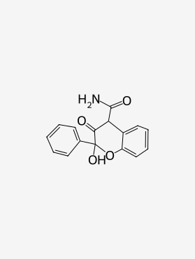 NC(=O)C1C(=O)C(O)(c2ccccc2)Oc2ccccc21